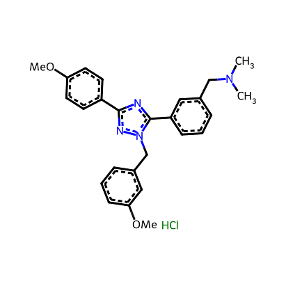 COc1ccc(-c2nc(-c3cccc(CN(C)C)c3)n(Cc3cccc(OC)c3)n2)cc1.Cl